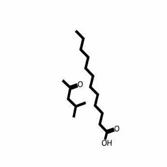 CC(=O)CC(C)C.CCCCCCCCCCCC(=O)O